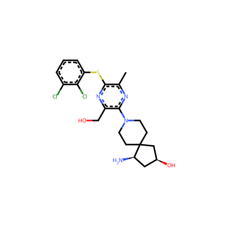 Cc1nc(N2CCC3(CC2)C[C@@H](O)C[C@H]3N)c(CO)nc1Sc1cccc(Cl)c1Cl